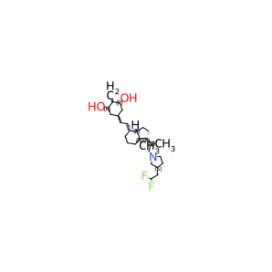 C=C1[C@H](O)CC(=C/C=C2\CCC[C@]3(C)[C@@H]([C@H](C)CN4CC[C@@H](CC(F)F)C4)CC[C@@H]23)C[C@H]1O